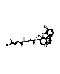 O=C(O)/C=C/C(=O)NCCC(=O)OC1=CC[C@@]2(O)[C@@H]3CCC[C@@]24c2c(ccc(O)c2O[C@@H]14)C3